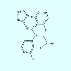 Fc1cccc2c1c(N(CC(F)F)c1ccnc(Br)c1)nc1nncn12